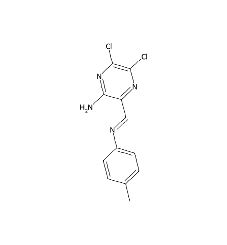 Cc1ccc(/N=C/c2nc(Cl)c(Cl)nc2N)cc1